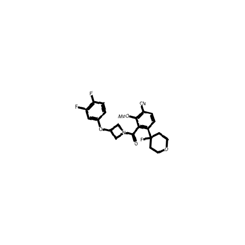 COc1c(C#N)ccc(C2(F)CCOCC2)c1C(=O)N1CC(Oc2ccc(F)c(F)c2)C1